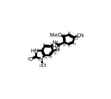 CCn1c(=O)[nH]c2cc3[nH]c(-c4ccc(C#N)cc4OC)nc3cc21